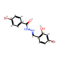 O=C(N/N=C/c1ccc(Br)cc1O)c1ccc(Br)cc1